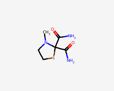 CN1CCSC1(C(N)=O)C(N)=O